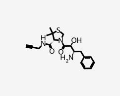 C#CCNC(=O)[C@H]1N(C(=O)[C@@H](O)[C@@H](N)Cc2ccccc2)CSC1(C)C